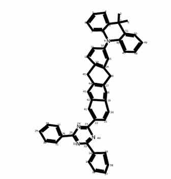 CC1(C)c2ccccc2N(c2ccc3c(c2)Cc2cc4ccc(-c5nc(-c6ccccc6)nc(-c6ccccc6)n5)cc4cc2C3)c2ccccc21